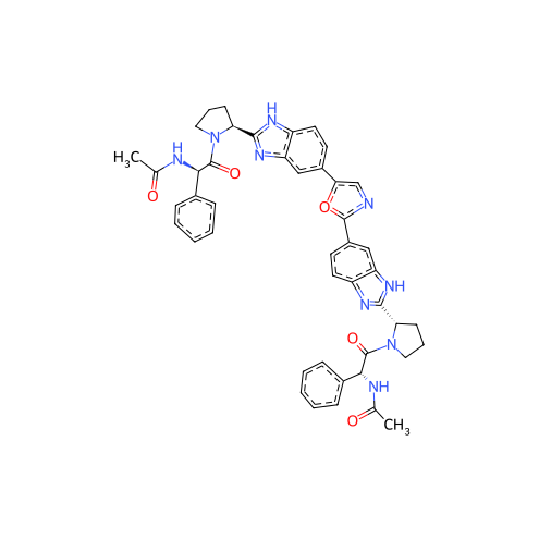 CC(=O)N[C@@H](C(=O)N1CCC[C@H]1c1nc2cc(-c3cnc(-c4ccc5nc([C@@H]6CCCN6C(=O)[C@H](NC(C)=O)c6ccccc6)[nH]c5c4)o3)ccc2[nH]1)c1ccccc1